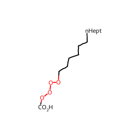 CCCCCCCCCCCCCOOOOC(=O)O